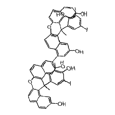 CC1(c2cc(I)c(O)c(I)c2)c2c(ccc3ccc(O)cc23)Oc2ccc3cc(-c4cc(O)cc5c6c(ccc45)Oc4ccc5ccc(O)cc5c4C6(C)c4cc(I)cc(I)c4O)c(O)cc3c21